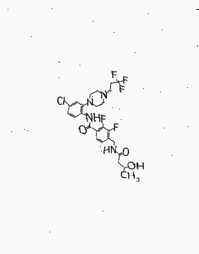 CC(O)CC(=O)NCc1ccc(C(=O)Nc2ccc(Cl)cc2N2CCN(CCC(F)(F)F)CC2)c(F)c1F